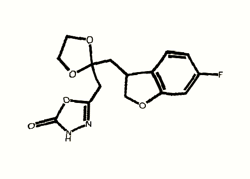 O=c1[nH]nc(CC2(CC3COc4cc(F)ccc43)OCCO2)o1